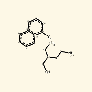 CCN(CC)CCN.Clc1cccc2ccccc12